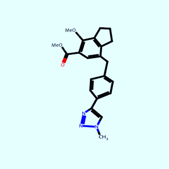 COC(=O)c1cc(Cc2ccc(-c3cn(C)nn3)cc2)c2c(c1OC)CCC2